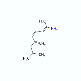 C=C(/C=C\C=C(/C)N)CC(C)C